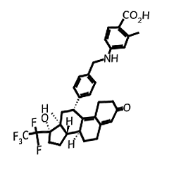 Cc1cc(NCc2ccc([C@H]3C[C@@]4(C)[C@@H](CC[C@@]4(O)C(F)(F)C(F)(F)F)[C@@H]4CCC5=CC(=O)CCC5=C43)cc2)ccc1C(=O)O